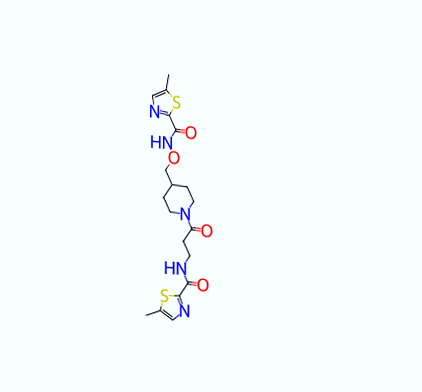 Cc1cnc(C(=O)NCCC(=O)N2CCC(CONC(=O)c3ncc(C)s3)CC2)s1